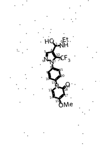 CCNC(O)c1cnn(-c2ccc(-n3ccc(OC)cc3=O)cc2)c1C(F)(F)F